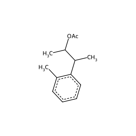 CC(=O)OC(C)C(C)c1ccccc1C